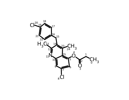 CCC(=O)Oc1cc(Cl)cc2nc(C)c(Cc3ccc(Cl)cc3)c(C)c12